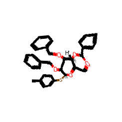 Cc1ccc(S[C@@H]2OC3COC(c4ccccc4)O[C@H]3C(OCc3ccccc3)C2OCc2ccccc2)cc1